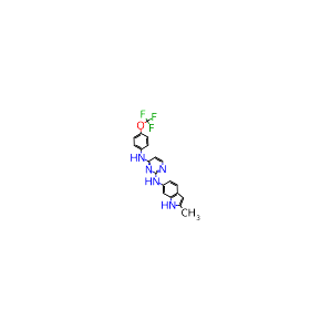 Cc1cc2ccc(Nc3nccc(Nc4ccc(OC(F)(F)F)cc4)n3)cc2[nH]1